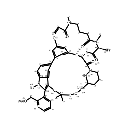 C=CC(=O)N(C)CCCC(=O)N(C)[C@H](C(=O)N[C@H]1Cc2cc(O)cc(c2)-c2ccc3c(c2)c(c(-c2cccnc2COC)n3CC)CC(C)(C)COCC2(C=O)CCCN(N2)C1=O)C(C)C